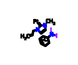 C=CCn1ccn(C)[c]1=[Pt].IN(I)C12CCC(CC1)CC2